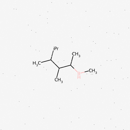 CBC(C)C(C)C(C)C(C)C